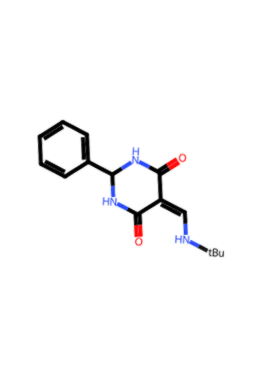 CC(C)(C)NC=C1C(=O)NC(c2ccccc2)NC1=O